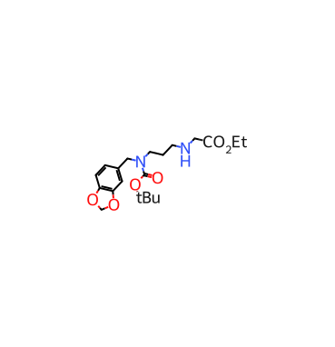 CCOC(=O)CNCCCN(Cc1ccc2c(c1)OCO2)C(=O)OC(C)(C)C